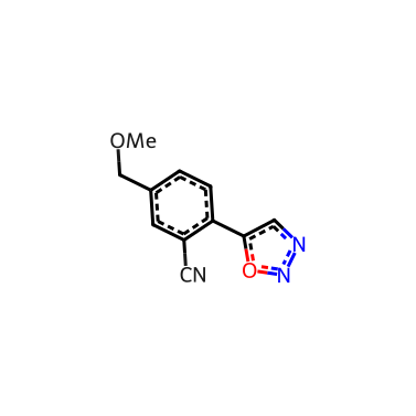 COCc1ccc(-c2cnno2)c(C#N)c1